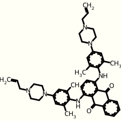 C=CCN1CCN(c2cc(C)c(Nc3ccc(Nc4c(C)cc(N5CCN(CC=C)CC5)cc4C)c4c3C(=O)c3ccccc3C4=O)c(C)c2)CC1